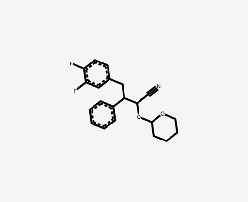 N#CC(OC1CCCCO1)C([CH]c1ccc(F)c(F)c1)c1ccccc1